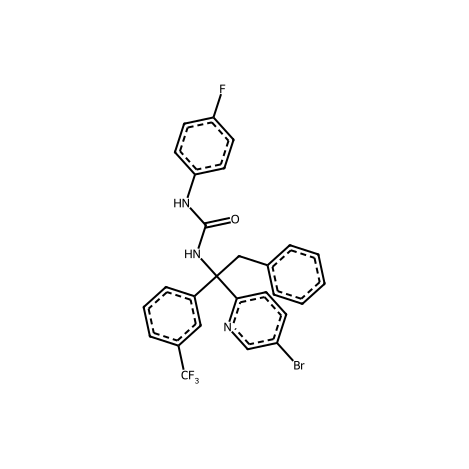 O=C(Nc1ccc(F)cc1)NC(Cc1ccccc1)(c1cccc(C(F)(F)F)c1)c1ccc(Br)cn1